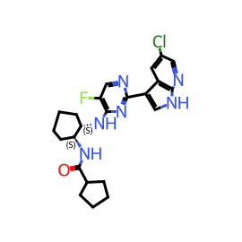 O=C(N[C@H]1CCCC[C@@H]1Nc1nc(-c2c[nH]c3ncc(Cl)cc23)ncc1F)C1CCCC1